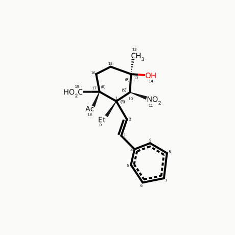 CC[C@]1(C=Cc2ccccc2)[C@H]([N+](=O)[O-])[C@](C)(O)CC[C@@]1(C(C)=O)C(=O)O